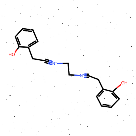 Oc1ccccc1CC#[N+]CC[N+]#CCc1ccccc1O